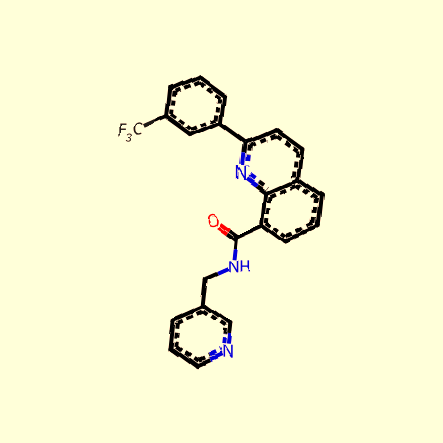 O=C(NCc1cccnc1)c1cccc2ccc(-c3cccc(C(F)(F)F)c3)nc12